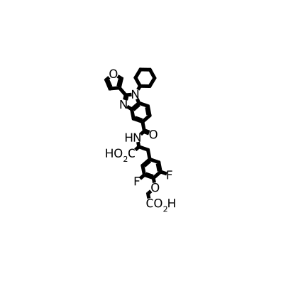 O=C(O)COc1c(F)cc(CC(NC(=O)c2ccc3c(c2)nc(-c2ccoc2)n3C2CCCCC2)C(=O)O)cc1F